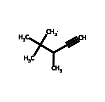 C#CC(C)C([CH2])(C)C